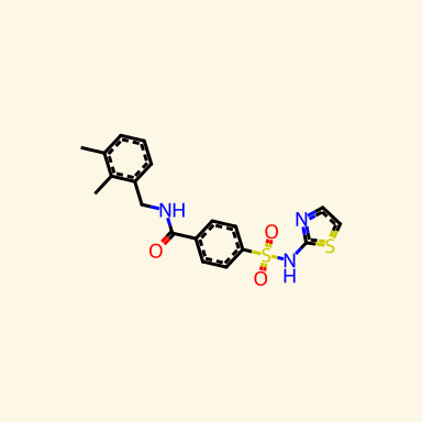 Cc1cccc(CNC(=O)c2ccc(S(=O)(=O)Nc3nccs3)cc2)c1C